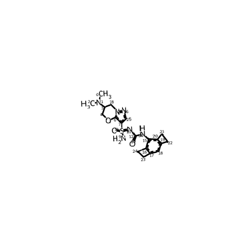 CN(C)C1COc2c(S(N)(=O)=NC(=O)Nc3c4c(cc5c3CC5)CC4)cnn2C1